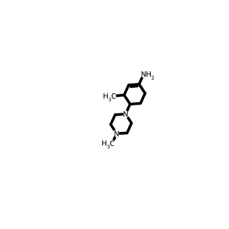 CC1C=C(N)CCC1N1CCN(C)CC1